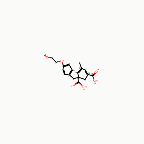 COCCOc1ccc(CC2(C(=O)O)C=C(C)C=C(C(=O)O)C2)cc1